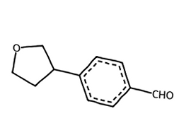 O=Cc1ccc(C2CCOC2)cc1